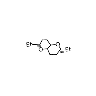 CC[C@@H]1CCC2O[C@@H](CC)CCC2O1